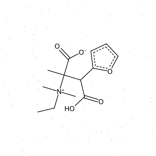 CC[N+](C)(C)C(C)(C(=O)[O-])C(C(=O)O)c1ccco1